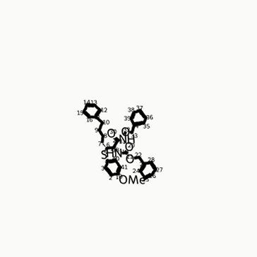 COc1ccc(S[C@H](CCCCc2ccccc2)C(NC(=O)OCc2ccccc2)C(=O)NOCc2ccccc2)cc1